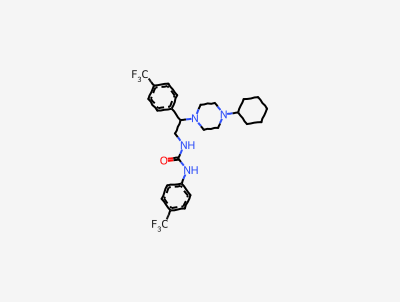 O=C(NCC(c1ccc(C(F)(F)F)cc1)N1CCN(C2CCCCC2)CC1)Nc1ccc(C(F)(F)F)cc1